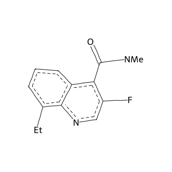 CCc1cccc2c(C(=O)NC)c(F)cnc12